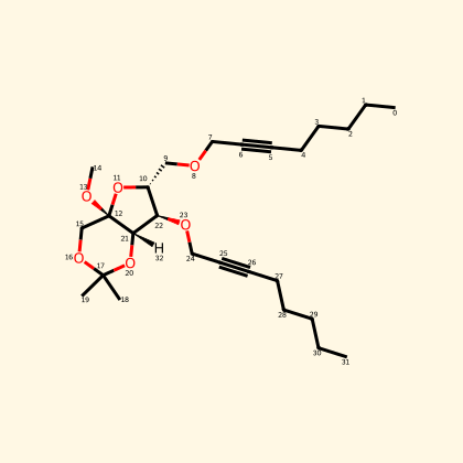 CCCCCC#CCOC[C@H]1O[C@@]2(OC)COC(C)(C)O[C@H]2[C@@H]1OCC#CCCCCC